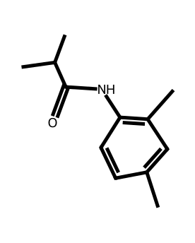 Cc1ccc(NC(=O)C(C)C)c(C)c1